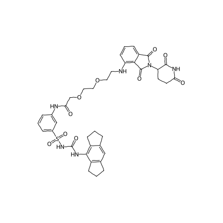 O=C1CCC(N2C(=O)c3cccc(NCCOCCOCC(=O)Nc4cccc(S(=O)(=O)NC(=O)Nc5c6c(cc7c5CCC7)CCC6)c4)c3C2=O)C(=O)N1